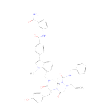 C=CCN1CC(=O)N2[C@@H](Cc3ccc(O)cc3)C(=O)N(Cc3cccc4c(-c5ccc(C(=O)Nc6cccc(C(N)=O)c6)cc5)cn(C)c34)C[C@@H]2N1C(=O)NCc1ccccc1